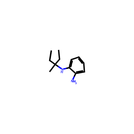 CCC(C)(CC)Nc1ccccc1N